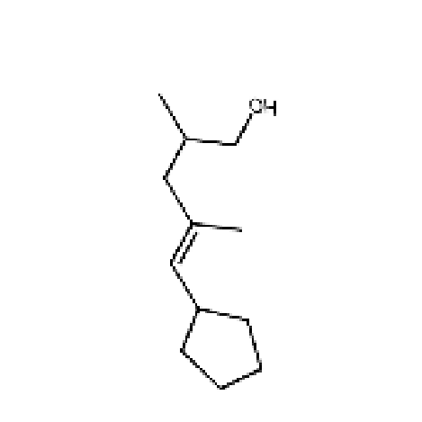 C/C(=C\C1CCCC1)CC(C)CO